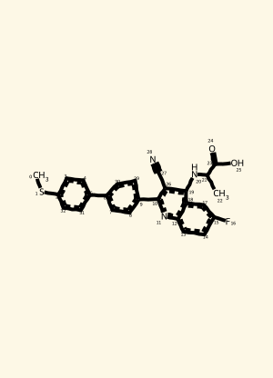 CSc1ccc(-c2ccc(-c3nc4ccc(F)cc4c(NC(C)C(=O)O)c3C#N)cc2)cc1